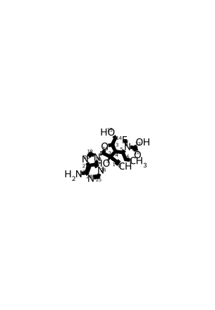 C#C[C@]1(O)C(C(CC)N(F)C(=O)O)C(CO)O[C@H]1n1cnc2c(N)ncnc21